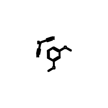 COc1cccc(OC)c1.N#C[Se]C#N